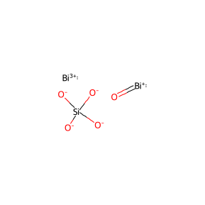 [Bi+3].[O-][Si]([O-])([O-])[O-].[O]=[Bi+]